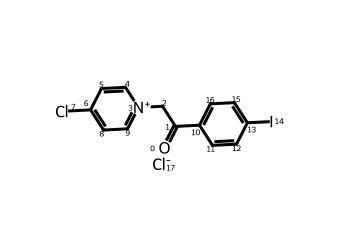 O=C(C[n+]1ccc(Cl)cc1)c1ccc(I)cc1.[Cl-]